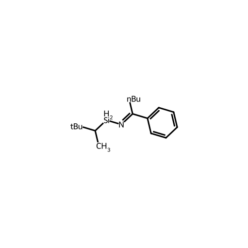 CCCCC(=N[SiH2]C(C)C(C)(C)C)c1ccccc1